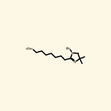 CCCCCCCCCCCCCCCCCC1=NC(C)(C)CN1C(C)CC